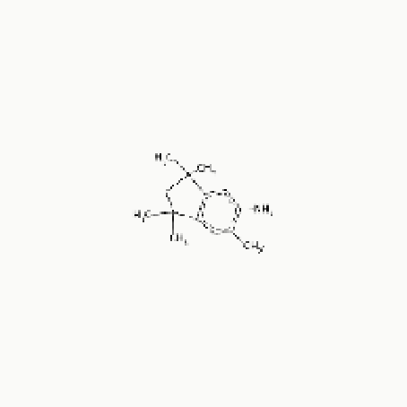 [CH2]c1cc2c(cc1N)C(C)(C)CC2(C)C